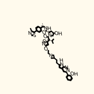 Cc1ncsc1-c1ccc([C@H](C)NC(=O)[C@@H]2C[C@@H](O)CN2C(=O)[C@@H](c2cc(OCCN3CC(CCc4cc5cc(-c6ccccc6O)nnc5[nH]4)C3)no2)C(C)C)cc1